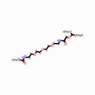 CCCCCCCC(CCCCC)OCC(=O)NCCOCCOCCOCCNC(=O)CCCCC